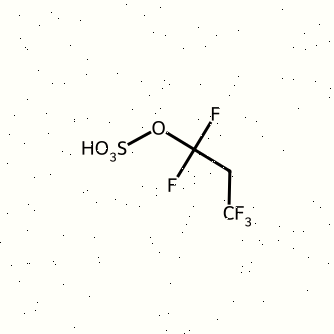 O=S(=O)(O)OC(F)(F)CC(F)(F)F